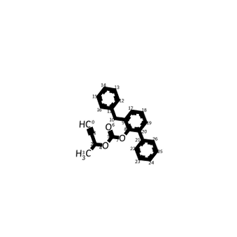 C#CC(C)OC(=O)Oc1c(Cc2ccccc2)cccc1-c1ccccc1